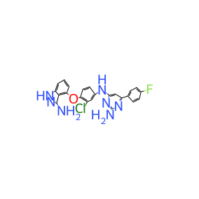 Nc1nc(Nc2ccc(Oc3cccc4[nH]nc(N)c34)c(Cl)c2)cc(-c2ccc(F)cc2)n1